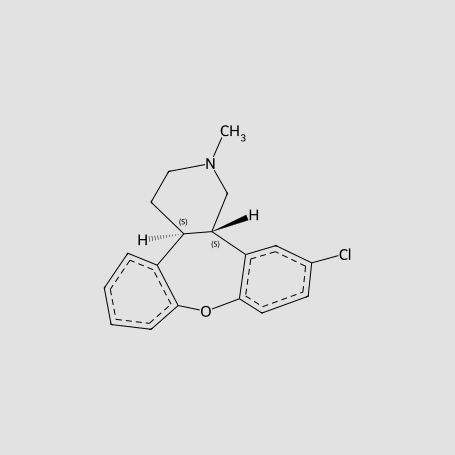 CN1CC[C@@H]2c3ccccc3Oc3ccc(Cl)cc3[C@H]2C1